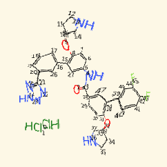 Cl.Cl.O=C(Nc1ccc(O[C@@H]2CCNC2)c(-c2cccc(-c3nn[nH]n3)c2)c1)c1ccc(O[C@H]2CCNC2)c(-c2ccc(F)c(F)c2)c1